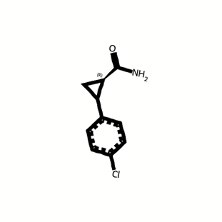 NC(=O)[C@@H]1CC1c1ccc(Cl)cc1